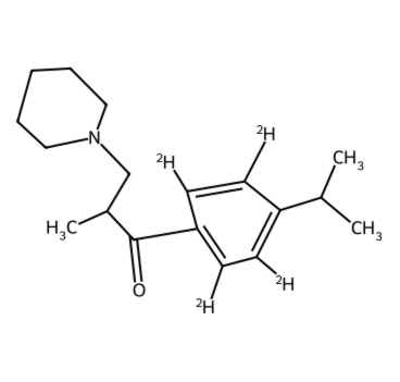 [2H]c1c([2H])c(C(C)C)c([2H])c([2H])c1C(=O)C(C)CN1CCCCC1